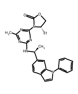 CC[C@H]1COC(=O)N1c1nc(C)nc(N[C@@H](C)c2ccc3ccn(-c4ccccc4)c3c2)n1